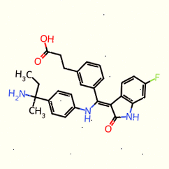 CCC(C)(N)c1ccc(N/C(=C2\C(=O)Nc3cc(F)ccc32)c2cccc(CCC(=O)O)c2)cc1